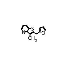 Cc1c(Cc2ccco2)sc2cccnc12